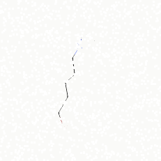 O=C(O)NCCCCCBr